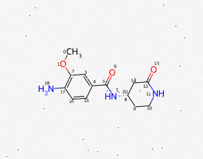 COc1cc(C(=O)N[C@H]2CCNC(=O)C2)ccc1N